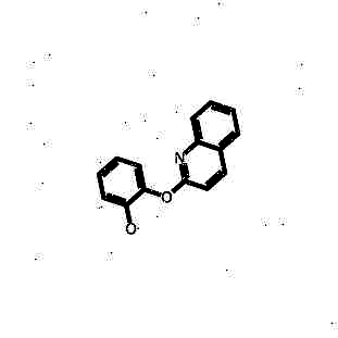 [O]c1ccccc1Oc1ccc2ccccc2n1